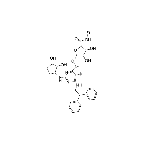 CCNC(=O)[C@H]1O[C@@H](On2cnc3c(NCC(c4ccccc4)c4ccccc4)nc(NC4CCC(O)C4O)nc32)[C@H](O)[C@@H]1O